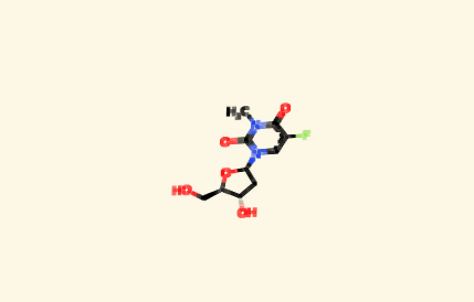 Cn1c(=O)c(F)cn([C@H]2C[C@H](O)[C@@H](CO)O2)c1=O